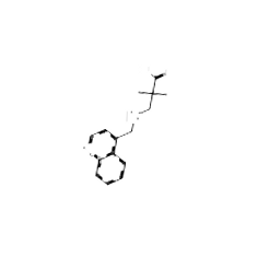 CC(C)(CNCc1ccnc2ccccc12)C(=O)O